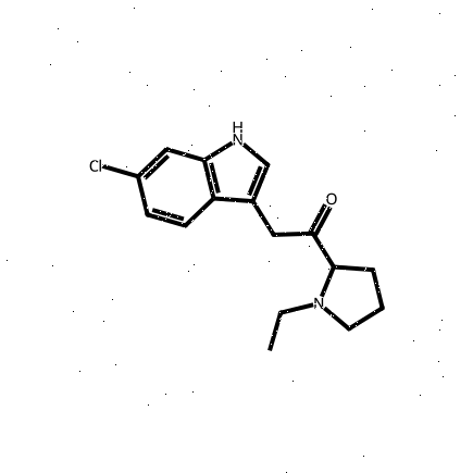 CCN1CCCC1C(=O)Cc1c[nH]c2cc(Cl)ccc12